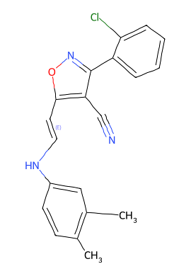 Cc1ccc(N/C=C/c2onc(-c3ccccc3Cl)c2C#N)cc1C